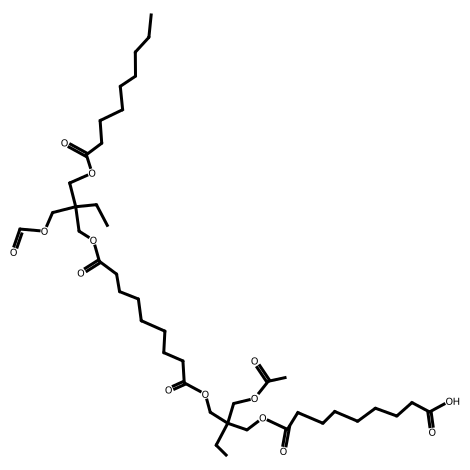 CCCCCCCCC(=O)OCC(CC)(COC=O)COC(=O)CCCCCCCC(=O)OCC(CC)(COC(C)=O)COC(=O)CCCCCCCC(=O)O